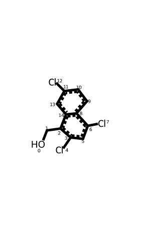 OCc1c(Cl)cc(Cl)c2ccc(Cl)cc12